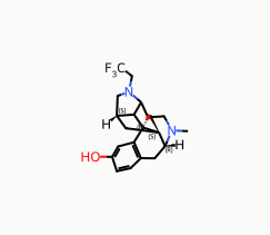 CN1CC[C@@]23c4cc(O)ccc4C[C@@H]1[C@]21CCC2C3[C@@H](CN2CC(F)(F)F)C1